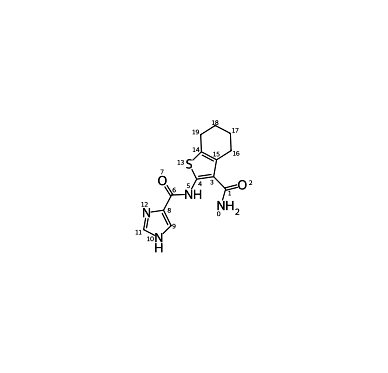 NC(=O)c1c(NC(=O)c2c[nH]cn2)sc2c1CCCC2